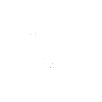 CCOC(=O)C(=O)C1C(=O)CCCC1=O